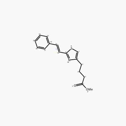 COC(=O)CCCc1csc(/C=C/c2ccccc2)n1